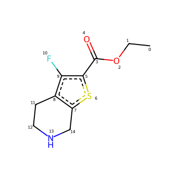 CCOC(=O)c1sc2c(c1F)CCNC2